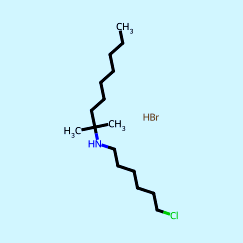 Br.CCCCCCCC(C)(C)NCCCCCCCl